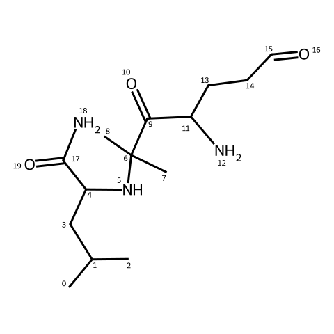 CC(C)CC(NC(C)(C)C(=O)C(N)CCC=O)C(N)=O